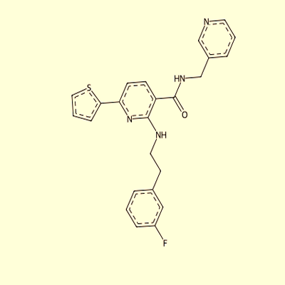 O=C(NCc1cccnc1)c1ccc(-c2cccs2)nc1NCCc1cccc(F)c1